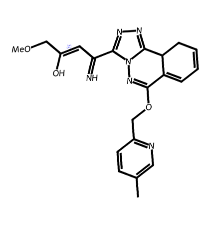 COC/C(O)=C/C(=N)c1nnc2n1N=C(OCc1ccc(C)cn1)C1=CC=CCC12